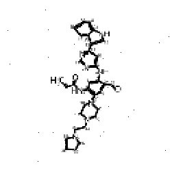 C=CC(=O)Nc1cc(Nc2cc(-c3c[nH]c4ccccc34)ncn2)c(C=O)cc1N1CCN(CCN2CCCC2)CC1